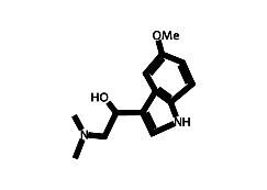 COc1ccc2[nH]cc(C(O)CN(C)C)c2c1